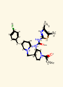 COC(=O)N1CC[C@@H](CN2CCC[C@@H](Cc3ccc(F)cc3)C2)[C@@H](NC(=O)Nc2nc(C)c(C(C)=O)s2)C1